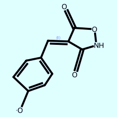 [O]c1ccc(/C=C2\C(=O)NOC2=O)cc1